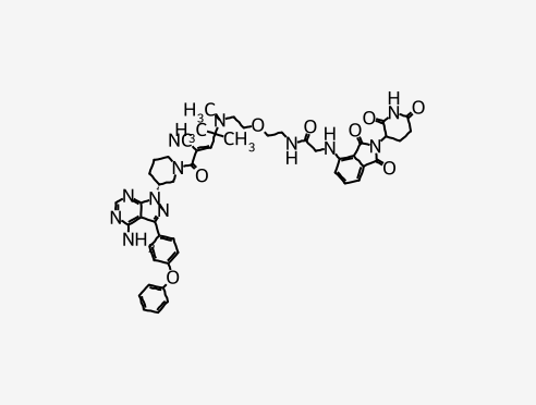 CN(CCOCCNC(=O)CNc1cccc2c1C(=O)N(C1CCC(=O)NC1=O)C2=O)C(C)(C)/C=C(\C#N)C(=O)N1CCC[C@@H](n2nc(-c3ccc(Oc4ccccc4)cc3)c3c(N)ncnc32)C1